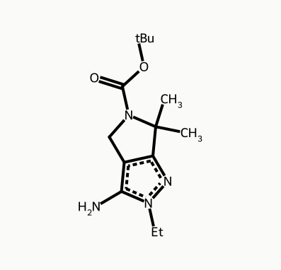 CCn1nc2c(c1N)CN(C(=O)OC(C)(C)C)C2(C)C